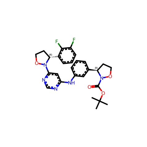 CC(C)(C)OC(=O)N1OCC[C@@H]1c1cccc(Nc2cc(N3OCC[C@@H]3c3cccc(F)c3F)ncn2)c1